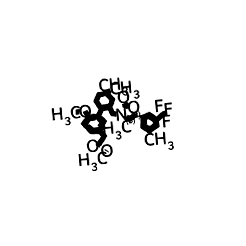 COC(=O)Cc1ccc(OC)c(C2=C(CN3C(=O)O[C@H](c4cc(C)cc(C(F)(F)F)c4)[C@@H]3C)CC(C)(C)CC2)c1